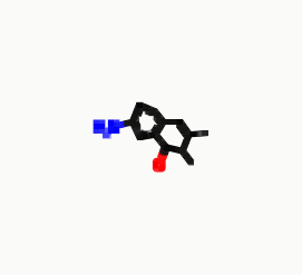 CC1=Cc2ccc(N)cc2C(=O)C1C